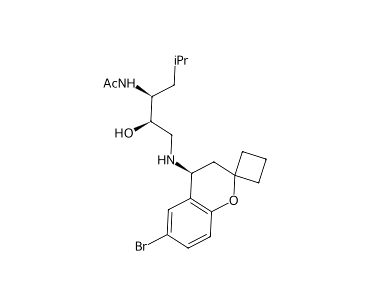 CC(=O)N[C@@H](CC(C)C)[C@H](O)CN[C@H]1CC2(CCC2)Oc2ccc(Br)cc21